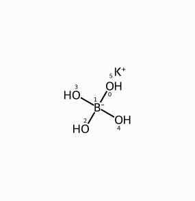 O[B-](O)(O)O.[K+]